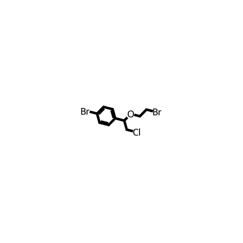 ClCC(OCCBr)c1ccc(Br)cc1